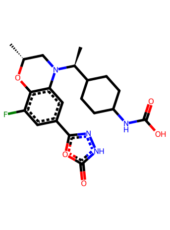 C[C@@H]1CN([C@@H](C)C2CCC(NC(=O)O)CC2)c2cc(-c3n[nH]c(=O)o3)cc(F)c2O1